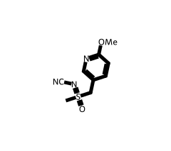 COc1ccc(CS(C)(=O)=NC#N)cn1